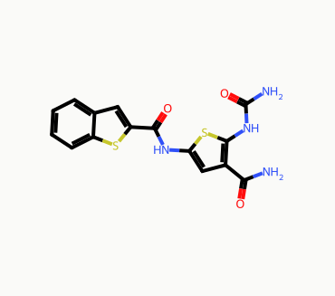 NC(=O)Nc1sc(NC(=O)c2cc3ccccc3s2)cc1C(N)=O